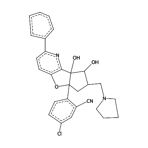 N#Cc1cc(Cl)ccc1C12CC(CN3CCCC3)C(O)C1(O)c1nc(-c3ccccc3)ccc1O2